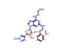 CCn1nnc([C@H]2O[C@@H](n3cnc4c(NCCC(C)(C)C)nc(N[C@H](CO)Cc5ccccc5)nc43)[C@H](O)[C@@H]2O)n1